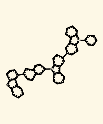 c1ccc(-n2c3ccccc3c3cc(-c4ccc5c(c4)c4ccccc4n5-c4ccc5cc(-c6cccc7oc8ccccc8c67)ccc5c4)ccc32)cc1